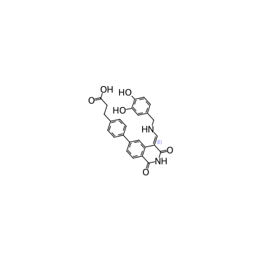 O=C(O)CCc1ccc(-c2ccc3c(c2)/C(=C\NCc2ccc(O)c(O)c2)C(=O)NC3=O)cc1